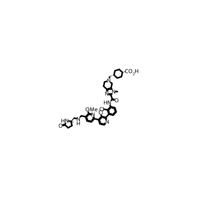 COc1nc(-c2ccnc(-c3cccc(NC(=O)c4nc5c(n4C)CN(C[C@H]4CC[C@@H](C(=O)O)CC4)CC5)c3Cl)c2Cl)ccc1CNC[C@H]1CCC(=O)N1